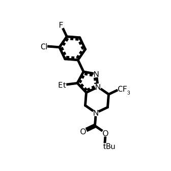 CCc1c(-c2ccc(F)c(Cl)c2)nn2c1CN(C(=O)OC(C)(C)C)CC2C(F)(F)F